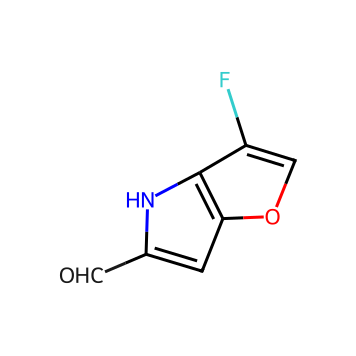 O=Cc1cc2occ(F)c2[nH]1